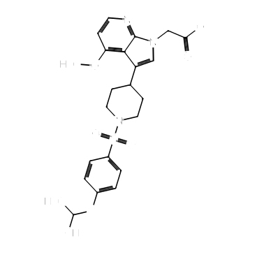 COc1ccnc2c1c(C1CCN(S(=O)(=O)c3ccc(OC(C)C)cc3)CC1)cn2CC(=O)O